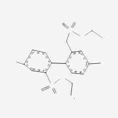 Cc1ccc(-c2ccc(C)cc2S(=O)(=O)OCC(C)(C)C)c(CS(=O)(=O)OCC(C)(C)C)c1